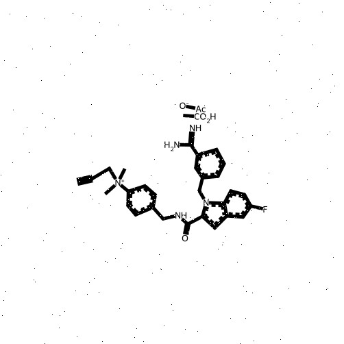 C#CC[N+](C)(C)c1ccc(CNC(=O)c2cc3cc(F)ccc3n2Cc2cccc(C(=N)N)c2)cc1.CC(=O)O.CC(=O)[O-]